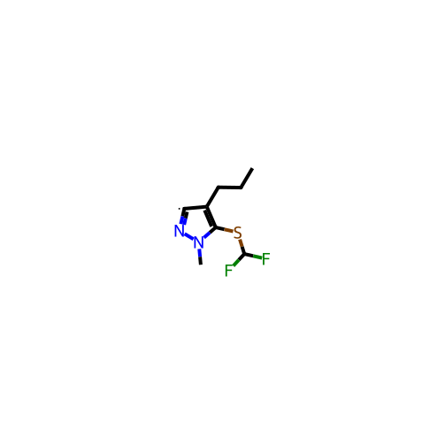 CCCc1[c]nn(C)c1SC(F)F